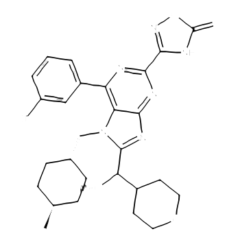 COC(c1nc2nc(-c3noc(=O)[nH]3)nc(-c3cccc(Cl)c3)c2n1C[C@H]1CC[C@H](C)CC1)C1CCOCC1